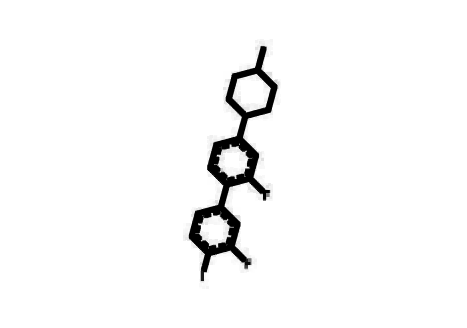 CC1CCC(c2ccc(-c3ccc(I)c(F)c3)c(F)c2)CC1